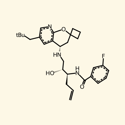 C=CC[C@H](NC(=O)c1cccc(F)c1)[C@H](O)CN[C@H]1CC2(CCC2)Oc2ncc(CC(C)(C)C)cc21